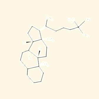 CC(CCCC(C)(C)O)[C@H]1CC[C@H]2[C@@H]3CCC4CCCC[C@]4(C)[C@H]3CC[C@]12C